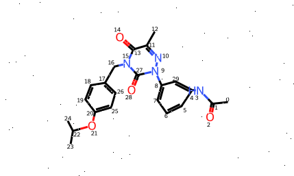 CC(=O)Nc1cccc(-n2nc(C)c(=O)n(Cc3ccc(OC(C)C)cc3)c2=O)c1